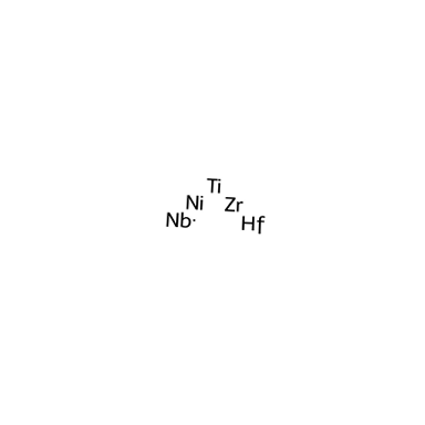 [Hf].[Nb].[Ni].[Ti].[Zr]